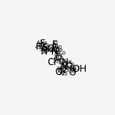 Cc1cc(Cc2nc3ccc(C(=O)O)cc3n2[C@@H]2COCC2(C)C)c(Cl)cc1-c1ccc(F)c(OCc2ncc(C(C)(F)F)s2)n1